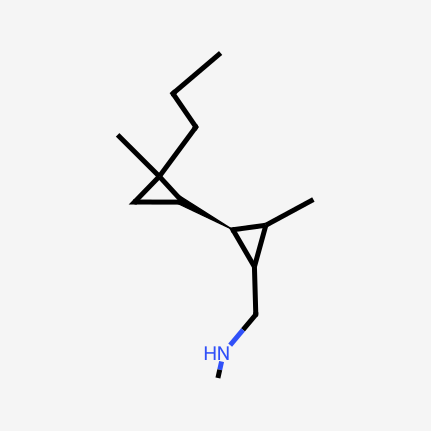 CCCC1(C)CC1[C@H]1C(C)C1CNC